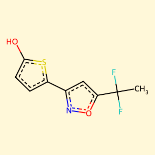 CC(F)(F)c1cc(-c2ccc(O)s2)no1